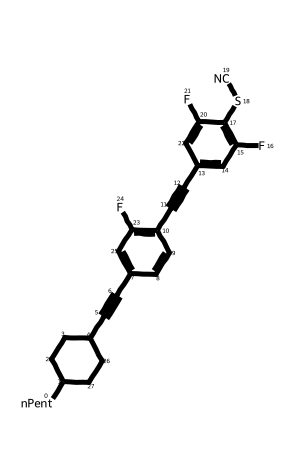 CCCCCC1CCC(C#Cc2ccc(C#Cc3cc(F)c(SC#N)c(F)c3)c(F)c2)CC1